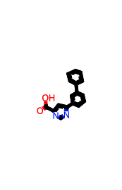 O=C(O)c1cc(-c2cccc(-c3ccccc3)c2)ncn1